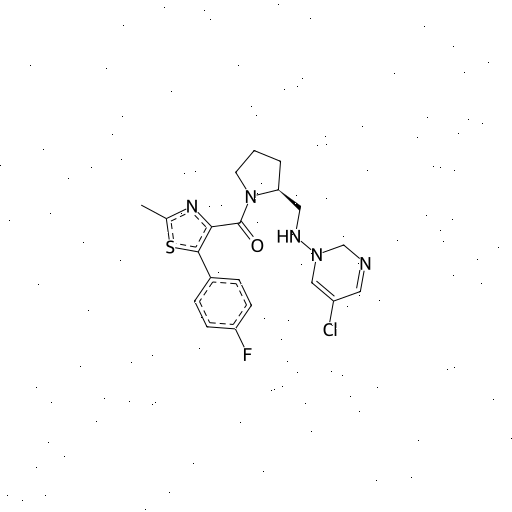 Cc1nc(C(=O)N2CCC[C@H]2CNN2C=C(Cl)C=NC2)c(-c2ccc(F)cc2)s1